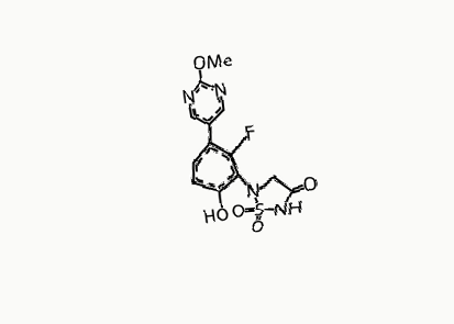 COc1ncc(-c2ccc(O)c(N3CC(=O)NS3(=O)=O)c2F)cn1